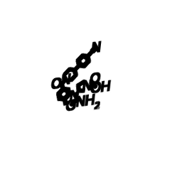 Cc1ccc(C(=O)N2CCC(c3ccc(C#N)cc3)CC2)cc1N(C(N)=O)[C@H]1CCN(C(=O)O)C1